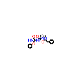 CC(C)(C)[C@](C)(NC(=O)CCc1ccccc1)C(=O)N[C@@H]1C(=O)N[C@H]1Oc1ccccc1